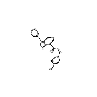 C[C@@H](NC(=O)c1cccc2c(-c3ccncc3)n[nH]c12)c1ccc(Cl)cc1